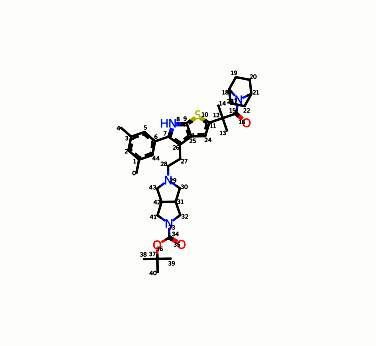 Cc1cc(C)cc(-c2[nH]c3sc(C(C)(C)C(=O)N4C5CCC4CC5)cc3c2CCN2CC3CN(C(=O)OC(C)(C)C)CC3C2)c1